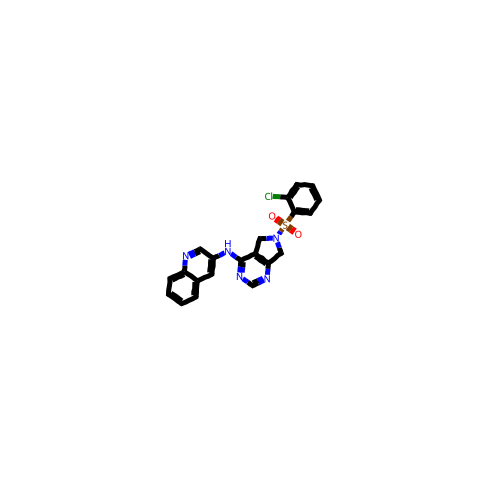 O=S(=O)(c1ccccc1Cl)N1Cc2ncnc(Nc3cnc4ccccc4c3)c2C1